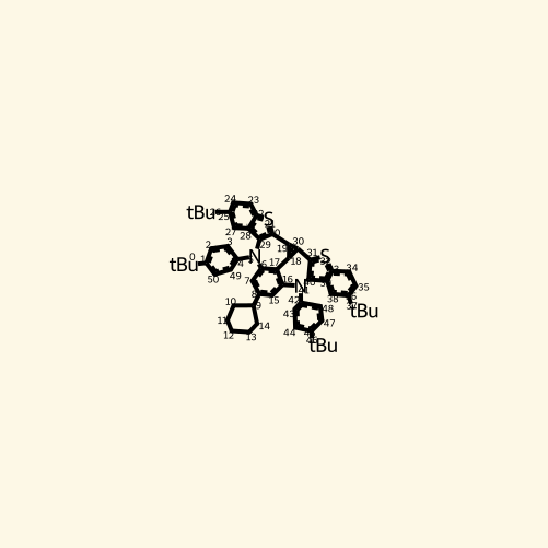 CC(C)(C)c1ccc(N2c3cc(C4CCCCC4)cc4c3C3=C(c5sc6ccc(C(C)(C)C)cc6c52)C3c2sc3ccc(C(C)(C)C)cc3c2N4c2ccc(C(C)(C)C)cc2)cc1